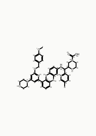 COc1ccc(COc2cc(N3CCOCC3)cc(-c3cccc4c3Sc3ccc(NC(c5ccc(C)cn5)C5CN(C(=O)O)CCO5)cc3S4)n2)cc1